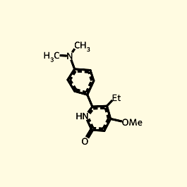 CCc1c(OC)cc(=O)[nH]c1-c1ccc(N(C)C)cc1